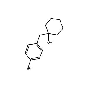 CC(C)c1ccc(CC2(O)CCCCC2)cc1